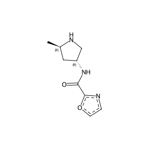 C[C@@H]1C[C@@H](NC(=O)c2ncco2)CN1